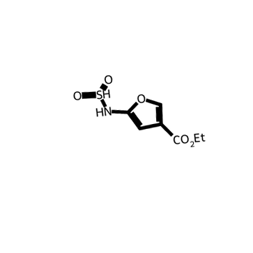 CCOC(=O)c1coc(N[SH](=O)=O)c1